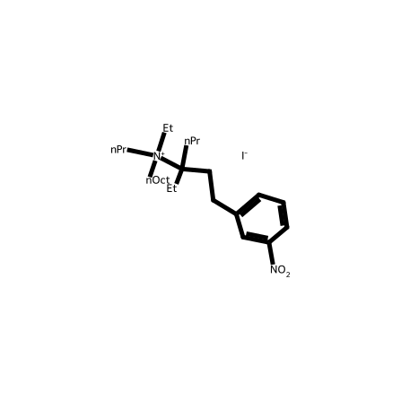 CCCCCCCC[N+](CC)(CCC)C(CC)(CCC)CCc1cccc([N+](=O)[O-])c1.[I-]